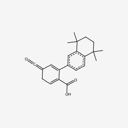 CC1(C)CCC(C)(C)c2cc(C3=CC(=C=O)CC=C3C(=O)O)ccc21